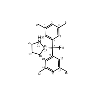 Cc1cc(C)cc(C(F)(c2cc(C)cc(C)c2)[C@@H]2CCCN2)c1